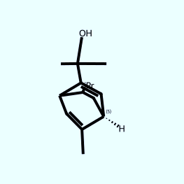 CC1=CC2C(C(C)(C)O)=C[C@@H]1CC2C(C)C